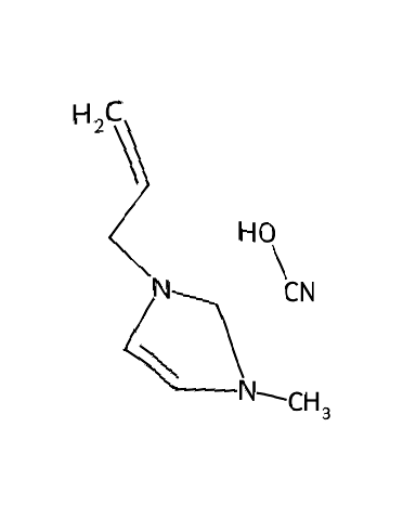 C=CCN1C=CN(C)C1.N#CO